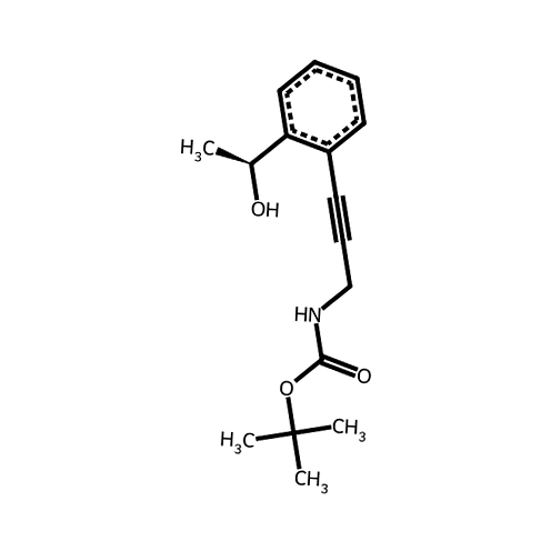 C[C@H](O)c1ccccc1C#CCNC(=O)OC(C)(C)C